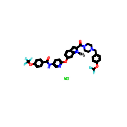 Cl.Cn1c(C(=O)N2CCN(Cc3ccc(OC(F)F)cc3)CC2)cc2ccc(Oc3ccc(NC(=O)c4ccc(OC(F)(F)F)cc4)cn3)cc21